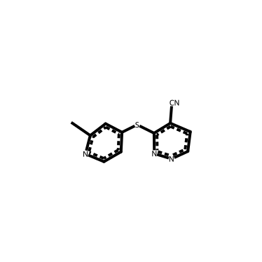 Cc1cc(Sc2nnccc2C#N)ccn1